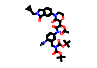 [C-]#[N+]c1ccc(NC(=O)[C@H](OC(C)=O)[C@H]2OCCN(c3ccc4c(c3)C(=O)N(CC3CC3)C4)C2=O)cc1CN(C(=O)OC(C)(C)C)C(=O)OC(C)(C)C